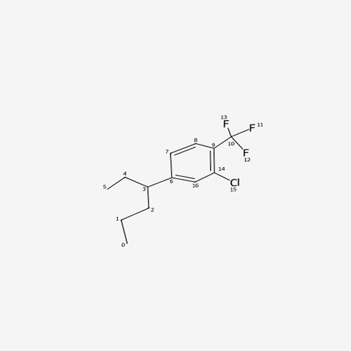 CCCC(CC)c1ccc(C(F)(F)F)c(Cl)c1